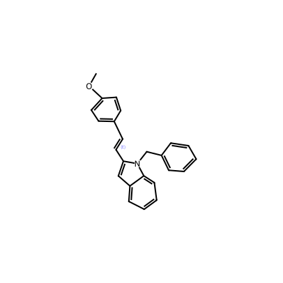 COc1ccc(/C=C/c2cc3ccccc3n2Cc2ccccc2)cc1